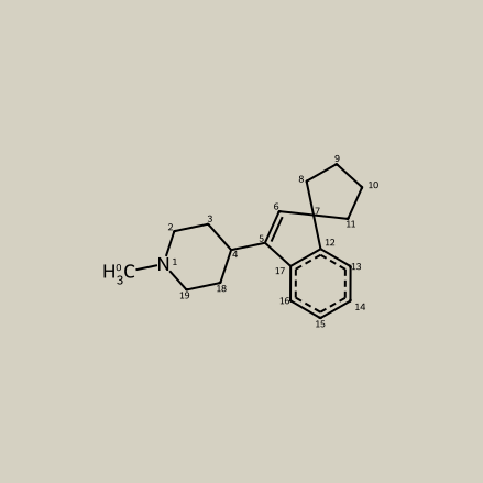 CN1CCC(C2=CC3(CCCC3)c3ccccc32)CC1